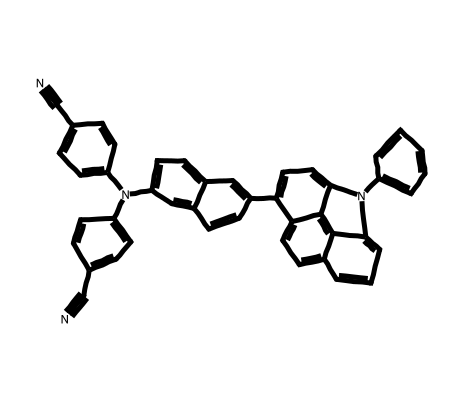 N#Cc1ccc(N(c2ccc(C#N)cc2)c2ccc3cc(-c4ccc5c6c4ccc4cccc(c46)n5-c4ccccc4)ccc3c2)cc1